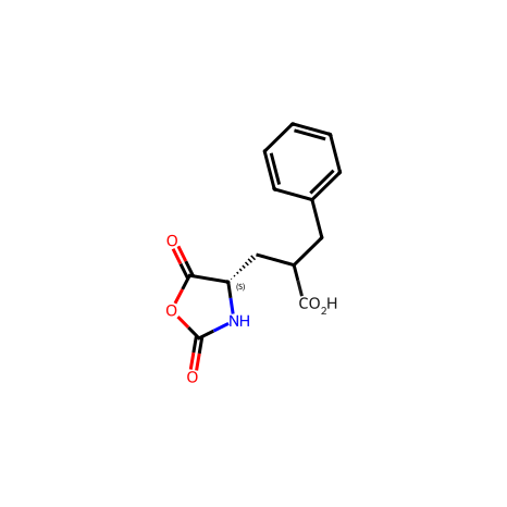 O=C1N[C@@H](CC(Cc2ccccc2)C(=O)O)C(=O)O1